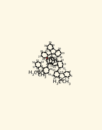 C[Si]1(C)c2ccccc2-c2c(-c3cccc4c(-c5cccc6c5C(c5ccccc5)(c5ccccc5)c5ccccc5-6)c5cccc(-c6cccc7c6-c6ccccc6[Si]7(C)C)c5cc34)cccc21